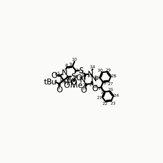 CO[C@@]1(C(=O)C(C)(C)C)C(=O)N2C=C(C)C(Sc3nc(=O)c(OC(c4ccccc4)c4ccccc4)nn3C)S(=O)(=O)[C@H]21